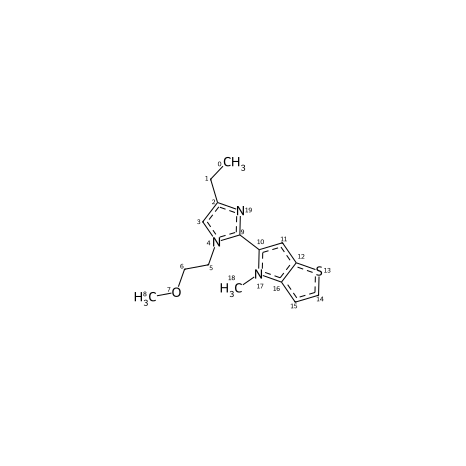 CCc1cn(CCOC)c(-c2cc3sccc3n2C)n1